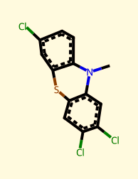 CN1c2ccc(Cl)cc2Sc2cc(Cl)c(Cl)cc21